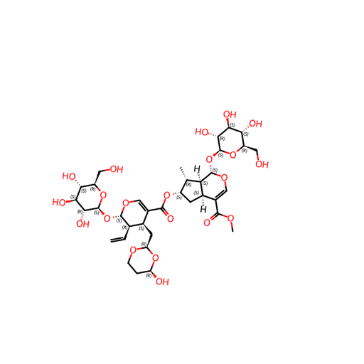 C=C[C@H]1[C@H](O[C@@H]2O[C@H](CO)[C@@H](O)[C@H](O)[C@H]2O)OC=C(C(=O)O[C@H]2C[C@@H]3C(C(=O)OC)=CO[C@@H](O[C@@H]4O[C@H](CO)[C@@H](O)[C@H](O)[C@H]4O)[C@@H]3[C@H]2C)[C@H]1C[C@@H]1OCC[C@H](O)O1